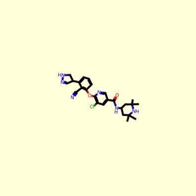 CC1(C)CC(NC(=O)c2cnc(Oc3cccc(C4C=NNC4)c3C#N)c(Cl)c2)CC(C)(C)N1